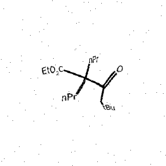 CCCC(CCC)(C(=O)OCC)C(=O)C(C)(C)C